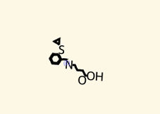 O=C(O)CCC/N=C/c1ccccc1SC1CC1